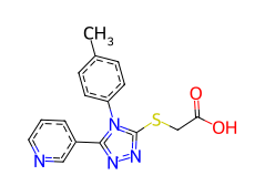 Cc1ccc(-n2c(SCC(=O)O)nnc2-c2cccnc2)cc1